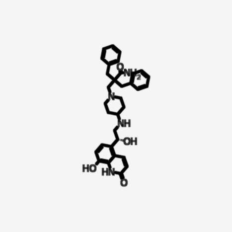 NC(=O)C(Cc1ccccc1)(Cc1ccccc1)CN1CCC(NC[C@H](O)c2ccc(O)c3[nH]c(=O)ccc23)CC1